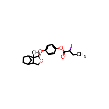 CCC(I)C(=O)Oc1ccc(OC2OCC3C4CCC(C4)C23C)cc1